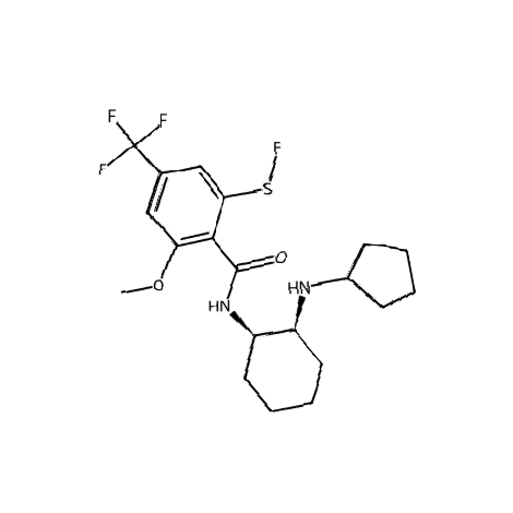 COc1cc(C(F)(F)F)cc(SF)c1C(=O)N[C@@H]1CCCC[C@@H]1NC1CCCC1